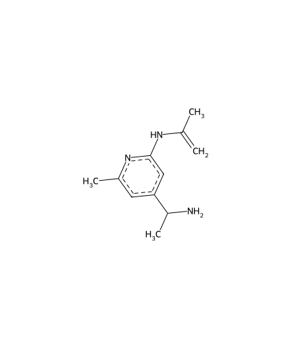 C=C(C)Nc1cc(C(C)N)cc(C)n1